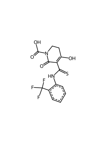 O=C(O)N1CCC(O)=C(C(=S)Nc2ccccc2C(F)(F)F)C1=O